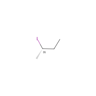 CC[C@H](C)I